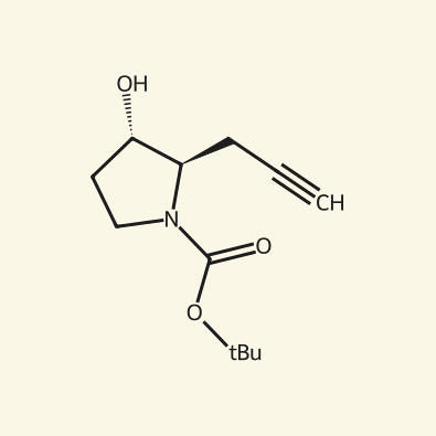 C#CC[C@@H]1[C@@H](O)CCN1C(=O)OC(C)(C)C